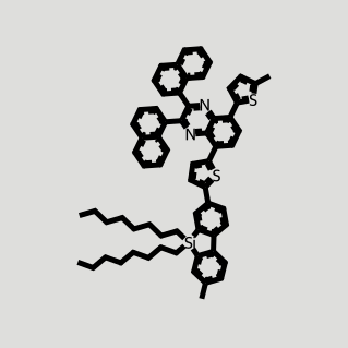 CCCCCCCC[Si]1(CCCCCCCC)c2cc(C)ccc2-c2ccc(-c3ccc(-c4ccc(-c5ccc(C)s5)c5nc(-c6cccc7ccccc67)c(-c6cccc7ccccc67)nc45)s3)cc21